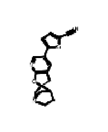 N#Cc1ccc(-c2cnc3c(c2)C[C@@]2(CN4CCC2CC4)O3)s1